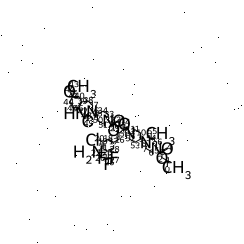 CCOC(=O)N1CCN(C2CCN(C(=O)C(Cc3cc(Cl)c(N)c(C(F)(F)F)c3)OC(=O)N3CCC(N4CCc5cc(OC)ccc5NC4=O)CC3)CC2)C(C)C1